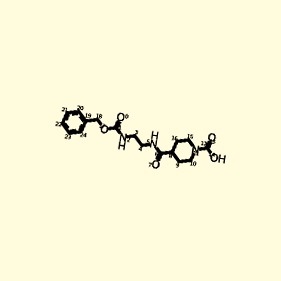 O=C(NCCNC(=O)C1CCN(C(=O)O)CC1)OCc1ccccc1